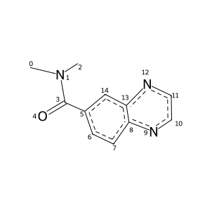 CN(C)C(=O)c1ccc2nccnc2c1